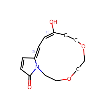 O=C1C=C/C2=C/C=C(/O)CCOCCOCCN12